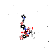 CC(C)CN(C[C@@H](O)[C@H](Cc1ccc(OCCCN2CCCC2)cc1)NC(=O)O)S(=O)(=O)c1ccc2c(c1)OCO2